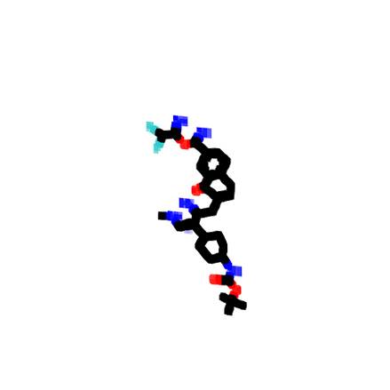 CN/C=C(\C(=N)CC1=CCc2ccc(C(=N)OC(=N)C(F)F)cc2C1=O)C1CCC(NC(=O)OC(C)(C)C)CC1